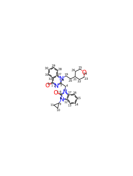 O=c1nc(Cn2c(=O)n(C3CC3)c3ccccc32)n(CCC2CCOCC2)c2ccccc12